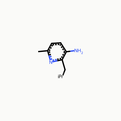 Cc1ccc(N)c(CC(C)C)n1